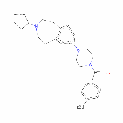 CC(C)(C)c1ccc(C(=O)N2CCN(c3ccc4c(c3)CCN(C3CCCC3)CC4)CC2)cc1